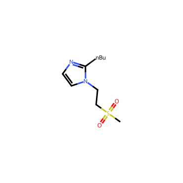 CCCCc1nccn1CCS(C)(=O)=O